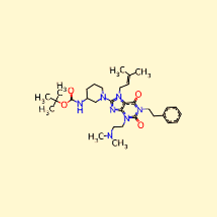 CC(C)=CCn1c(N2CCCC(NC(=O)OC(C)(C)C)C2)nc2c1c(=O)n(CCc1ccccc1)c(=O)n2CCN(C)C